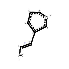 CC(=O)/C=C/c1cccnc1